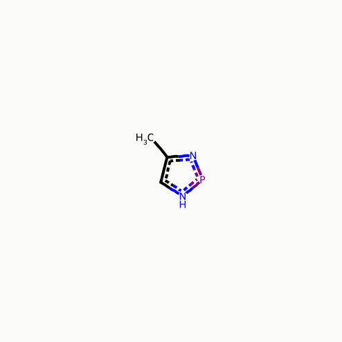 Cc1c[nH]pn1